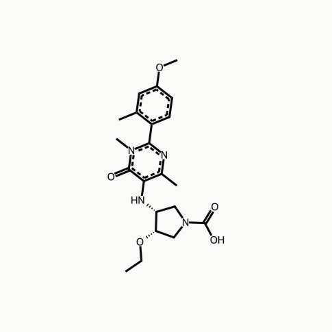 CCO[C@H]1CN(C(=O)O)C[C@H]1Nc1c(C)nc(-c2ccc(OC)cc2C)n(C)c1=O